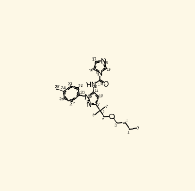 CCCCOCC(C)(C)c1cc(NC(=O)n2ccnc2)n(-c2ccc(C)cc2)n1